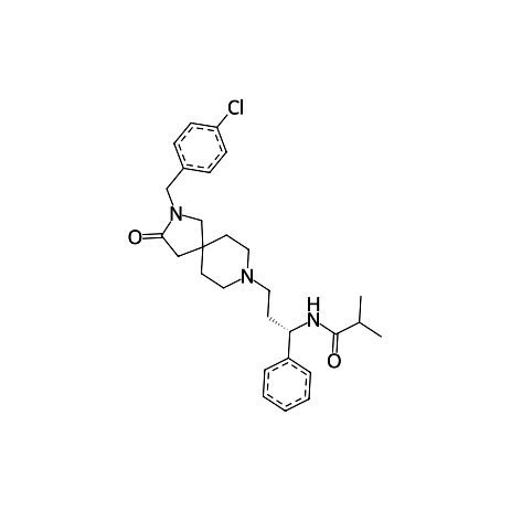 CC(C)C(=O)N[C@@H](CCN1CCC2(CC1)CC(=O)N(Cc1ccc(Cl)cc1)C2)c1ccccc1